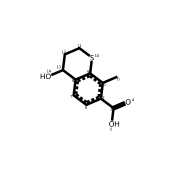 Cc1c(C(=O)O)ccc2c1SCCC2O